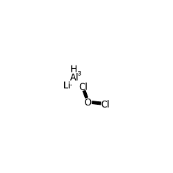 ClOCl.[AlH3].[Li]